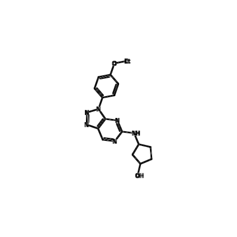 CCOc1ccc(-n2nnc3cnc(NC4CCC(O)C4)nc32)cc1